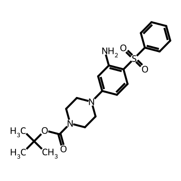 CC(C)(C)OC(=O)N1CCN(c2ccc(S(=O)(=O)c3ccccc3)c(N)c2)CC1